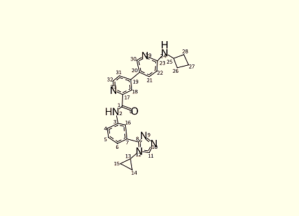 O=C(Nc1cccc(-c2nncn2C2CC2)c1)c1cc(-c2ccc(NC3CCC3)nc2)ccn1